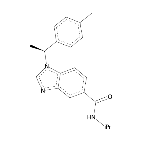 Cc1ccc([C@H](C)n2cnc3cc(C(=O)NC(C)C)ccc32)cc1